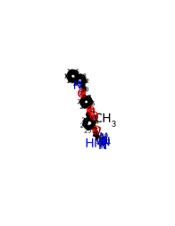 COC1(COc2ccc(OCc3ccc4ccccc4n3)cc2)C=CC=C(OCc2nnn[nH]2)C1